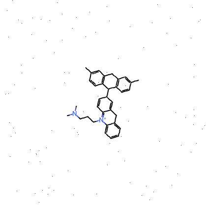 Cc1ccc2c(c1)Cc1cc(C)ccc1C2C1C=CC2=[N+](CCCN(C)C)c3ccccc3CC2=C1